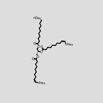 CCCCCC/C=C\CCCCCCCC(=O)OC[C@H](COC(=O)CCCCCCCCCCCCCCCCCCC)OC(=O)CCCCCCC/C=C\CCCCCC